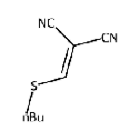 CCCCSC=C(C#N)C#N